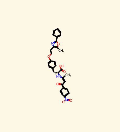 CC(=CC(=O)c1ccc([N+](=O)[O-])cc1)N[C@@H](Cc1ccc(OCCc2nc(-c3ccccc3)oc2C)cc1)C(=O)O